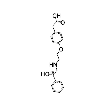 O=C(O)Cc1ccc(OCCNC[C@@H](O)c2ccccc2)cc1